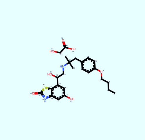 CCCCOc1ccc(CC(C)(C)NCC(O)c2cc(O)cc3[nH]c(=O)sc23)cc1.O=C(O)CO